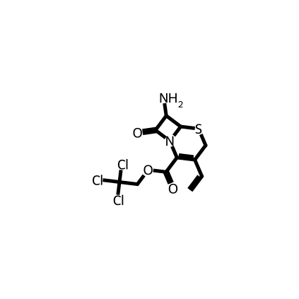 C=CC1=C(C(=O)OCC(Cl)(Cl)Cl)N2C(=O)C(N)C2SC1